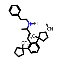 CC#N.CCN(CCc1ccccc1)C(C)CCc1c(C2(C(F)(F)F)CCCC2)cccc1C1(C(F)(F)F)CCCC1